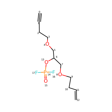 C#CCCOCC(COCCC=C)OP(=O)(F)F